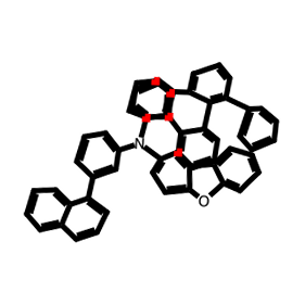 c1ccc(-c2ccccc2-c2c(-c3ccccc3)cccc2-c2cccc(N(c3cccc(-c4cccc5ccccc45)c3)c3ccc4oc5ccccc5c4c3)c2)cc1